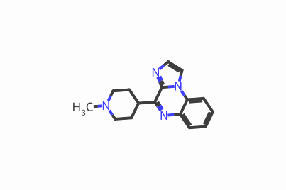 CN1CCC(c2nc3ccccc3n3ccnc23)CC1